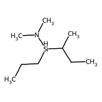 CCC[SiH](C(C)CC)N(C)C